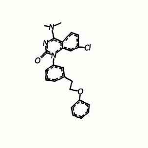 CN(C)c1nc(=O)n(-c2cccc(CCOc3ccccc3)c2)c2cc(Cl)ccc12